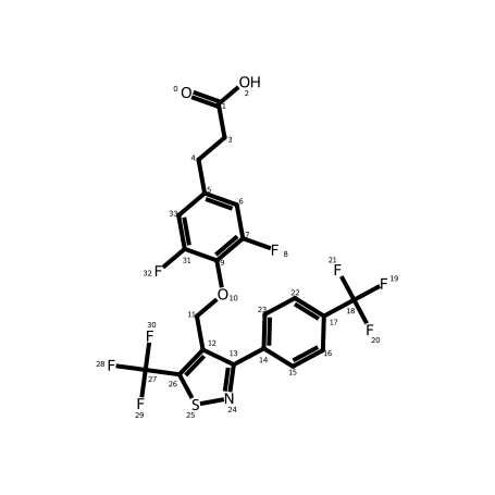 O=C(O)CCc1cc(F)c(OCc2c(-c3ccc(C(F)(F)F)cc3)nsc2C(F)(F)F)c(F)c1